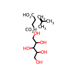 C=C(C)C.O=C(O)CCC(=O)O.OCC(O)C(O)C(O)CO